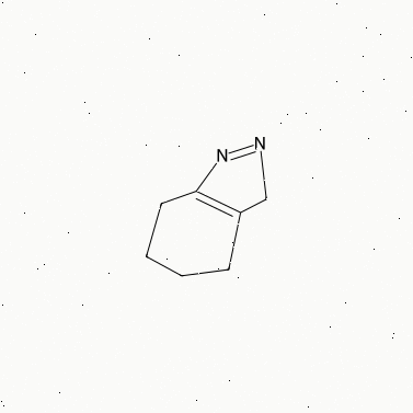 C1CCC2=C(C1)CN=N2